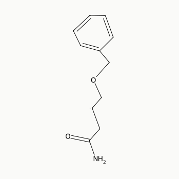 NC(=O)C[CH]COCc1ccccc1